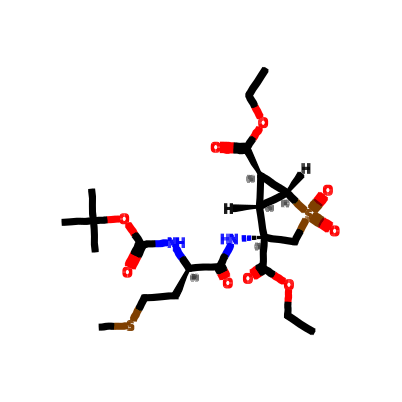 CCOC(=O)[C@@H]1[C@@H]2[C@H]1S(=O)(=O)C[C@@]2(NC(=O)[C@@H](CCSC)NC(=O)OC(C)(C)C)C(=O)OCC